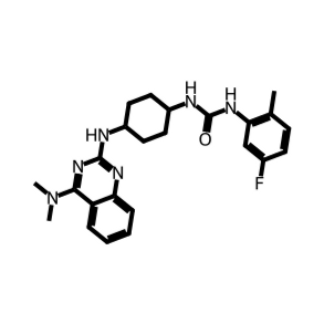 Cc1ccc(F)cc1NC(=O)NC1CCC(Nc2nc(N(C)C)c3ccccc3n2)CC1